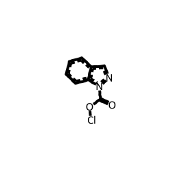 O=C(OCl)n1ncc2ccccc21